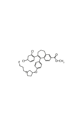 COC(=O)c1ccc2c(c1)CCCC(C1=C(Cl)CC(Cl)C=C1)=C2c1ccc(O[C@H]2CCN(CCCF)C2)cc1